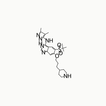 Cc1n[nH]c(Nc2ncnc3cc(OCCCC4CCNCC4)c(S(=O)(=O)C(C)(C)C)cc23)c1C